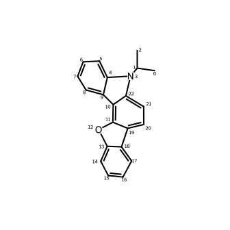 CC(C)n1c2ccccc2c2c3oc4ccccc4c3ccc21